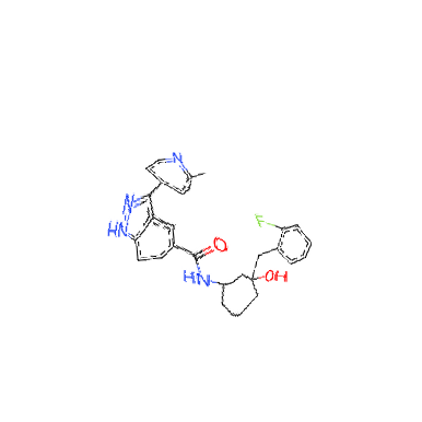 Cc1cc(-c2n[nH]c3ccc(C(=O)NC4CCCC(O)(Cc5ccccc5F)C4)cc23)ccn1